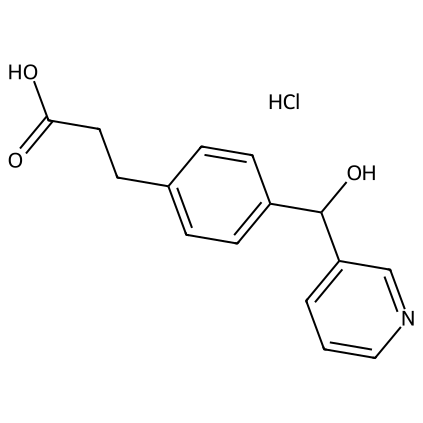 Cl.O=C(O)CCc1ccc(C(O)c2cccnc2)cc1